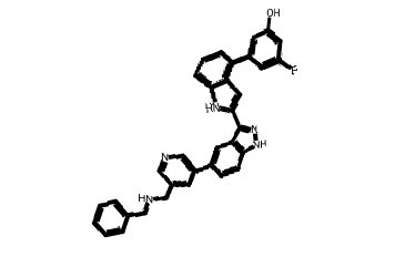 Oc1cc(F)cc(-c2cccc3[nH]c(-c4n[nH]c5ccc(-c6cncc(CNCc7ccccc7)c6)cc45)cc23)c1